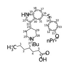 CCCCCCC(=O)O.CCCOc1ccc(Sc2ccc3[nH]cc(C4CCN(C(C)CC)CC4)c3c2)cc1